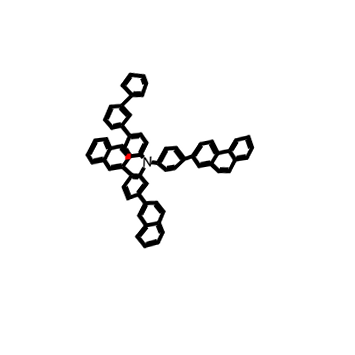 c1ccc(-c2cccc(-c3ccc(N(c4ccc(-c5ccc6c(ccc7ccccc76)c5)cc4)c4cc(-c5ccc6ccccc6c5)ccc4-c4ccc5ccccc5c4)cc3)c2)cc1